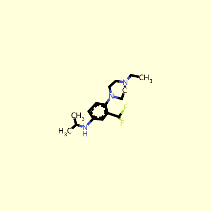 CCN1CCN(c2ccc(NC(C)C)cc2C(F)F)CC1